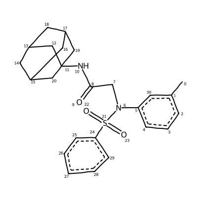 Cc1cccc(N(CC(=O)NC23CC4CC(CC(C4)C2)C3)S(=O)(=O)c2ccccc2)c1